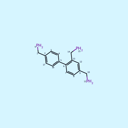 PCc1ccc(-c2ccc(CP)cc2CP)cc1